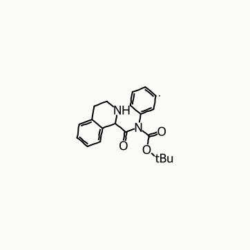 CC(C)(C)OC(=O)N(C(=O)C1NCCc2ccccc21)c1c[c]ccc1